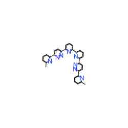 Cc1cccc(-c2ccc(-c3cccc(-c4cccc(-c5ccc(-c6cccc(C)n6)nn5)n4)n3)nn2)n1